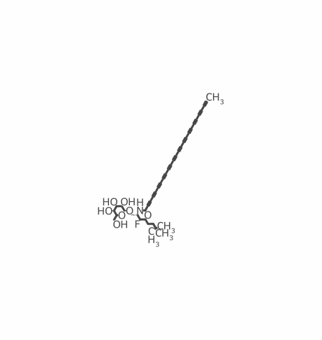 CC#CC#CC#CC#CC#CC#CC#CC#CC#CC#CC#CC#CC(=O)N[C@@H](CO[C@H]1OC(CO)[C@H](O)[C@H](O)C1O)[C@H](F)CCCC(C)(C)C